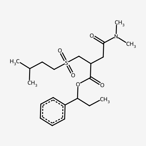 CCC(OC(=O)C(CC(=O)N(C)C)CS(=O)(=O)CCC(C)C)c1ccccc1